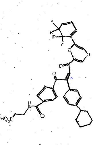 O=C(O)CCNC(=O)c1ccc(C(=O)/C(=C\C(=O)C2=COC=C(C3=CC=CC(F)(F)C3(F)F)O2)c2ccc(C3CCCCC3)cc2)cc1